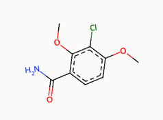 COc1ccc(C(N)=O)c(OC)c1Cl